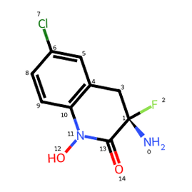 N[C@]1(F)Cc2cc(Cl)ccc2N(O)C1=O